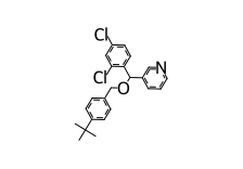 CC(C)(C)c1ccc(COC(c2cccnc2)c2ccc(Cl)cc2Cl)cc1